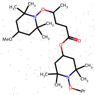 COC1CC(C)(C)N(OC(C)CCC(=O)OC2CC(C)(C)N(OC(C)C)C(C)(C)C2)C(C)(C)C1